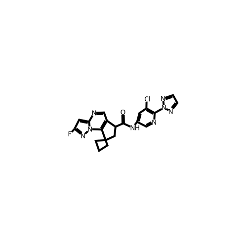 O=C(Nc1cnc(-n2nccn2)c(Cl)c1)C1CC2(CCC2)c2c1cnc1cc(F)nn21